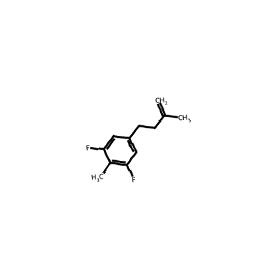 C=C(C)CCc1cc(F)c(C)c(F)c1